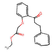 CCOC(=O)COc1ccccc1C(=O)CCc1ccccc1